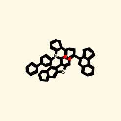 c1ccc(-c2ccc(N(c3ccccc3-c3ccc(-c4cc5ccccc5c5ccccc45)cc3)c3cccc4sc5cc6ccccc6cc5c34)cc2)cc1